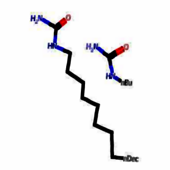 CCCCCCCCCCCCCCCCCCNC(N)=O.CCCCNC(N)=O